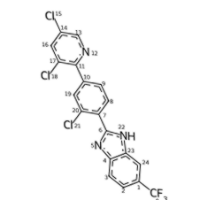 FC(F)(F)c1ccc2nc(-c3ccc(-c4ncc(Cl)cc4Cl)cc3Cl)[nH]c2c1